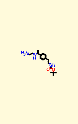 C=C(NCCN)c1ccc(CCNC(=O)OC(C)(C)C)cc1